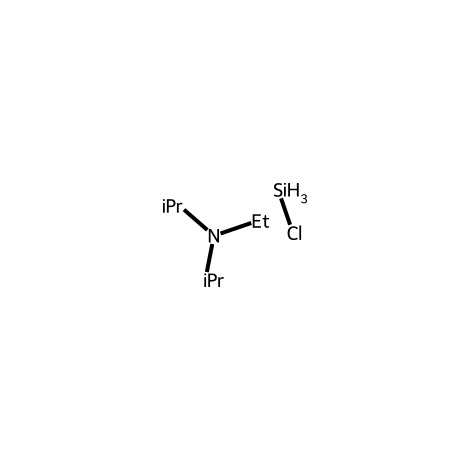 CCN(C(C)C)C(C)C.[SiH3]Cl